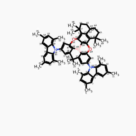 Cc1cc(C)c2c(c1)c1cc(C)cc(C)c1n2-c1cc2c3c(c1)C(C)(C)c1cc(-n4c5c(C)cc(C)cc5c5cc(C)cc(C)c54)cc4c1B3c1c(c3c5c(c1O4)C(C)(C)CCC5(C)CCC3(C)C)O2